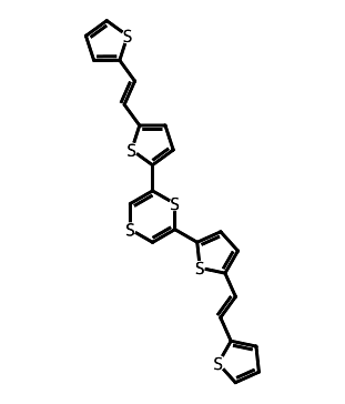 C(=Cc1ccc(C2=CSC=C(c3ccc(C=Cc4cccs4)s3)S2)s1)c1cccs1